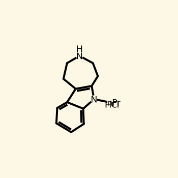 CCCn1c2c(c3ccccc31)CCNCC2.Cl